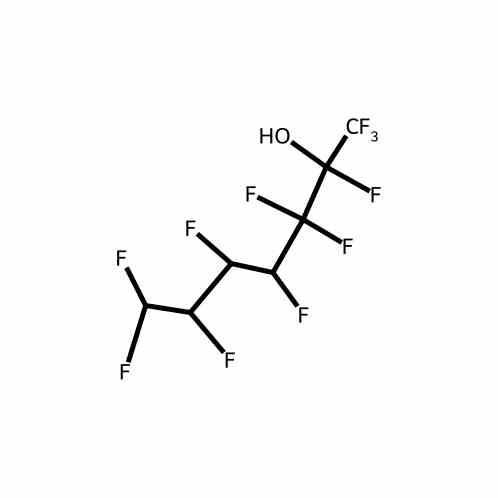 OC(F)(C(F)(F)F)C(F)(F)C(F)C(F)C(F)C(F)F